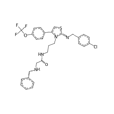 O=C(CNCc1ccccc1)NCCCn1c(-c2ccc(OC(F)(F)F)cc2)cs/c1=N\Cc1ccc(Cl)cc1